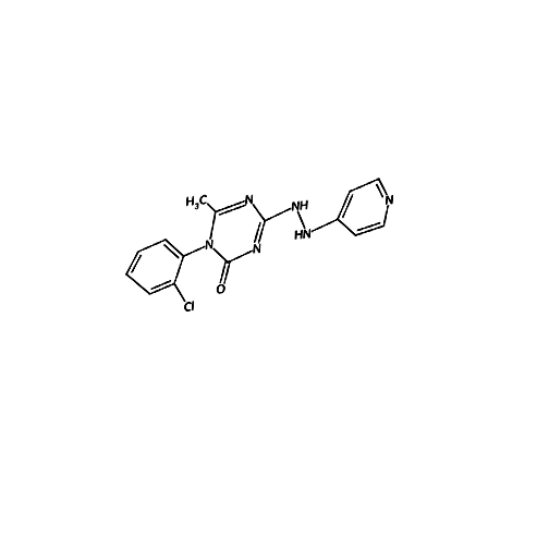 Cc1nc(NNc2ccncc2)nc(=O)n1-c1ccccc1Cl